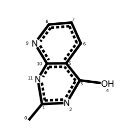 Cc1nc(O)c2cccnc2n1